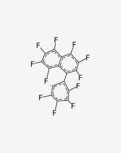 Fc1[c]c(-c2c(F)c(F)c(F)c3c(F)c(F)c(F)c(F)c23)c(F)c(F)c1F